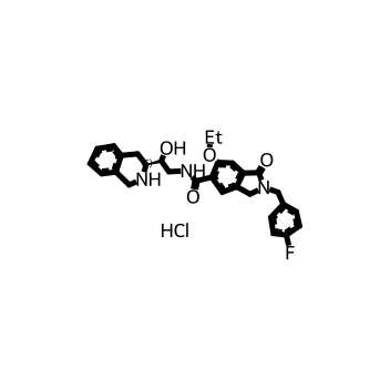 CCOc1cc2c(cc1C(=O)NCC(O)[C@@H]1Cc3ccccc3CN1)CN(Cc1ccc(F)cc1)C2=O.Cl